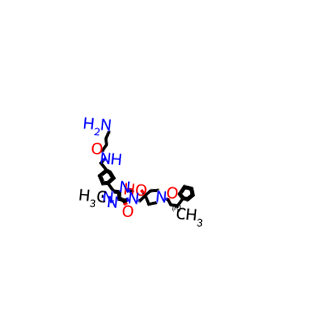 C[C@H](CC(=O)N1CCC(O)(Cn2cnc3c(-c4ccc(CNC(=O)CCCN)cc4)n(C)nc3c2=O)CC1)c1ccccc1